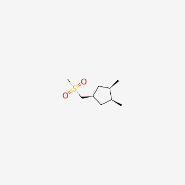 C[C@@H]1C[C@H](CS(C)(=O)=O)C[C@@H]1C